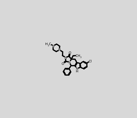 CCC12Cc3c([nH]c4ccc(Cl)cc34)C(c3ccccc3)N1C(=O)N(CCN1CCN(C)CC1)C2=O